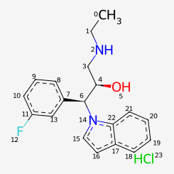 CCNC[C@@H](O)[C@H](c1cccc(F)c1)n1ccc2ccccc21.Cl